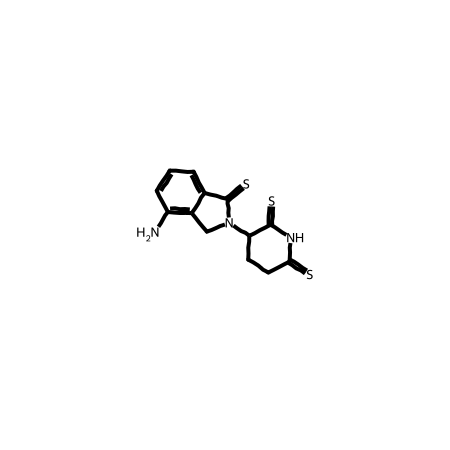 Nc1cccc2c1CN(C1CCC(=S)NC1=S)C2=S